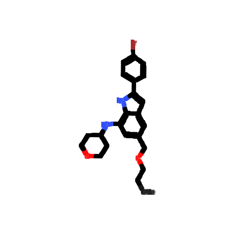 COCCOCc1cc(NC2CCOCC2)c2[nH]c(-c3ccc(Br)cc3)cc2c1